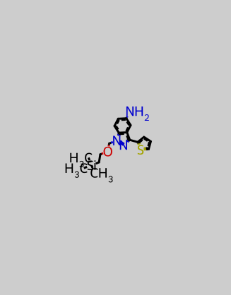 C[Si](C)(C)CCOCn1nc(-c2cccs2)c2cc(N)ccc21